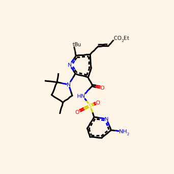 CCOC(=O)/C=C/c1cc(C(=O)NS(=O)(=O)c2cccc(N)n2)c(N2CC(C)CC2(C)C)nc1C(C)(C)C